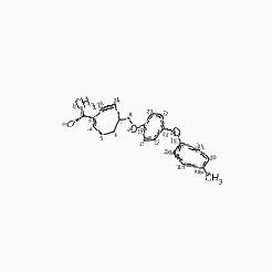 CC(=O)C1=CCCC(COc2ccc(Oc3ccc(C)cc3)cc2)C=C1